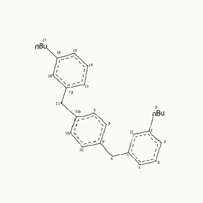 CCCCc1cccc(Cc2ccc(Cc3cccc(CCCC)c3)cc2)c1